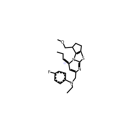 CC/C=C1/C=C(CN(CC)c2ccc(F)cc2)N=C2SC3=C(C(COC)CC3)N21